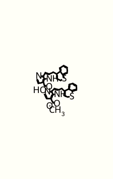 COC(=O)c1ccnc2cc(CC3CCSc4ccccc43)[nH]c12.O=C(O)c1ccnc2cc(CC3CCSc4ccccc43)[nH]c12